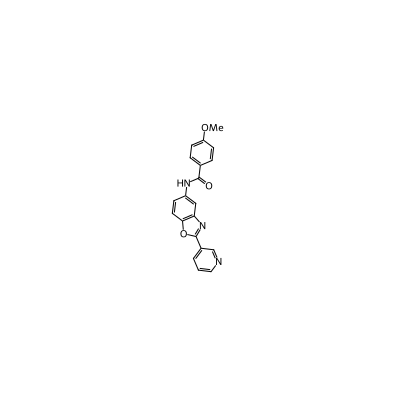 COc1ccc(C(=O)Nc2ccc3oc(-c4cccnc4)nc3c2)cc1